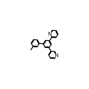 Cc1cccc(-c2cc(-c3cccnc3)cc(-c3ccccn3)c2)c1